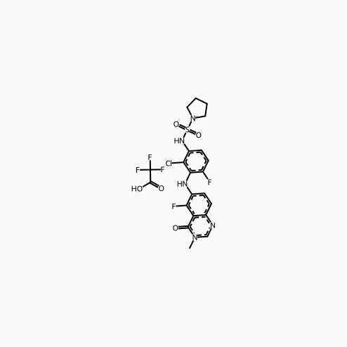 Cn1cnc2ccc(Nc3c(F)ccc(NS(=O)(=O)N4CCCC4)c3Cl)c(F)c2c1=O.O=C(O)C(F)(F)F